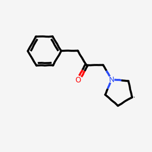 O=C(Cc1ccccc1)CN1C[CH]CC1